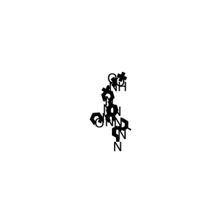 C[C@@H]1CCN(c2nn(C3CCCCO3)c3nc(N4CCC(C)(CNC(=O)OC(C)(C)C)CC4)cnc23)c2ccc(C#N)nc21